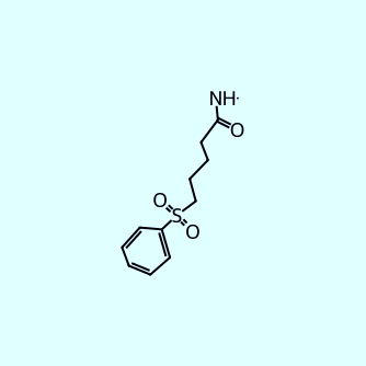 [NH]C(=O)CCCCS(=O)(=O)c1ccccc1